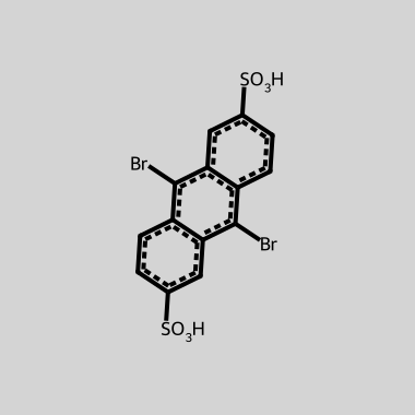 O=S(=O)(O)c1ccc2c(Br)c3cc(S(=O)(=O)O)ccc3c(Br)c2c1